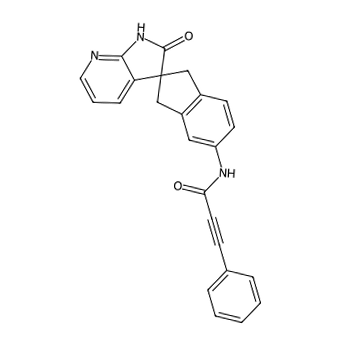 O=C(C#Cc1ccccc1)Nc1ccc2c(c1)CC1(C2)C(=O)Nc2ncccc21